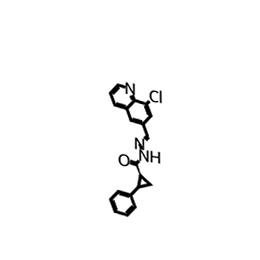 O=C(NN=Cc1cc(Cl)c2ncccc2c1)[C@H]1CC1c1ccccc1